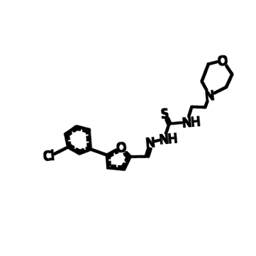 S=C(NCCN1CCOCC1)NN=Cc1ccc(-c2cccc(Cl)c2)o1